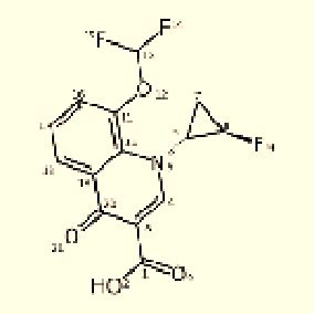 O=C(O)c1cn([C@@H]2C[C@H]2F)c2c(OC(F)F)[c]ccc2c1=O